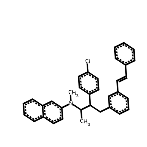 CC(C(Cc1cccc(C=Cc2ccccc2)c1)c1ccc(Cl)cc1)N(C)c1ccc2ccccc2c1